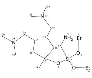 CCO[Si](CN)(OCC)OC(C)(CCCN(C)C)CCCN(C)C